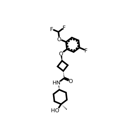 C[C@]1(O)CC[C@H](NC(=O)[C@H]2C[C@H](Oc3cc(F)ccc3OC(F)F)C2)CC1